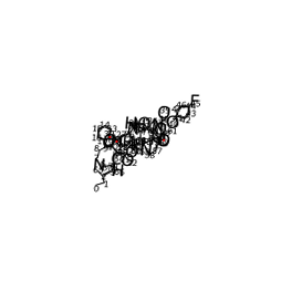 CCC1=C[C@@H]2CN(CCc3c([nH]c4ccccc34)[C@@](C(=O)OC)(c3cc4c(cc3OC)N(C)[C@H]3C(O)(CNC(=O)Oc5ccc(F)cc5)[C@H](OC(C)=O)[C@]5(CC)C=CCN6CC[C@]43[C@@H]65)C2)C1